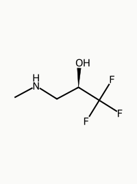 CNC[C@@H](O)C(F)(F)F